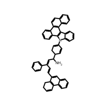 NC(/C=C(\C=C\c1cc2ccccc2c2c1CCC=C2)c1ccccc1)C1C=CC(n2c3ccccc3c3c4c5ccccc5ccc4c4ccccc4c32)=CC1